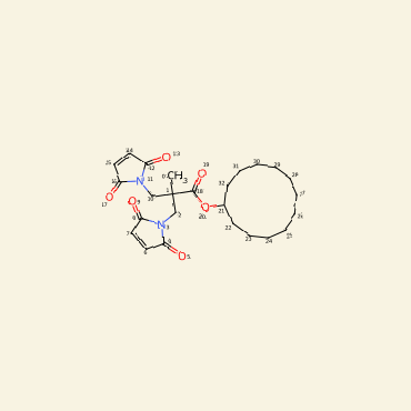 CC(CN1C(=O)C=CC1=O)(CN1C(=O)C=CC1=O)C(=O)OC1CCCCCCCCCCC1